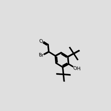 CC(C)(C)c1cc(C(Br)C=O)cc(C(C)(C)C)c1O